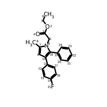 CCOC(=O)Cn1c(C)cc(-c2ccc(F)cc2)c1-c1ccccc1